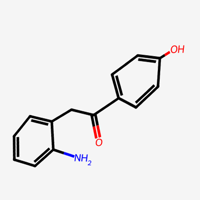 Nc1ccccc1CC(=O)c1ccc(O)cc1